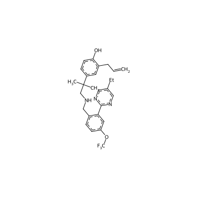 C=CCc1cc(C(C)(C)CNCc2ccc(OC(F)(F)F)cc2-c2ncc(CC)cn2)ccc1O